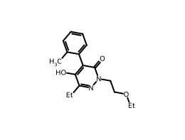 CCOCCn1nc(CC)c(O)c(-c2ccccc2C)c1=O